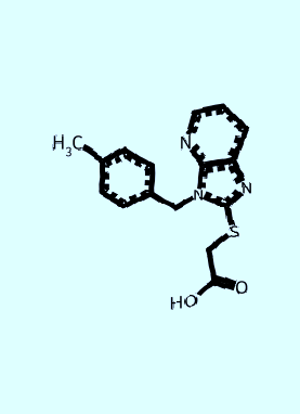 Cc1ccc(Cn2c(SCC(=O)O)nc3cccnc32)cc1